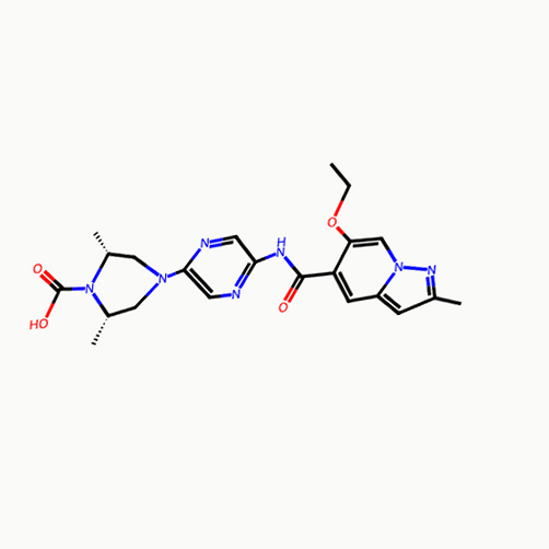 CCOc1cn2nc(C)cc2cc1C(=O)Nc1cnc(N2C[C@@H](C)N(C(=O)O)[C@@H](C)C2)cn1